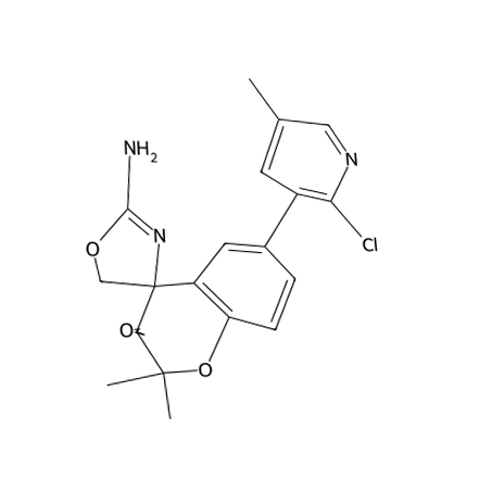 Cc1cnc(Cl)c(-c2ccc3c(c2)C2(COC(N)=N2)C2(COC2)C(C)(C)O3)c1